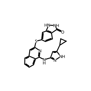 O=c1[nH][nH]c2cc(Sc3cc4ccccc4c(Nc4cc(C5CC5)[nH]n4)n3)ccc12